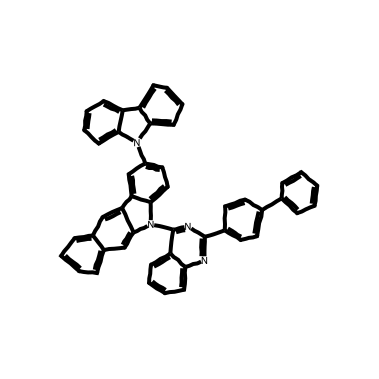 c1ccc(-c2ccc(-c3nc(-n4c5ccc(-n6c7ccccc7c7ccccc76)cc5c5cc6ccccc6cc54)c4ccccc4n3)cc2)cc1